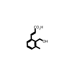 Cc1cccc(/C=C/C(=O)O)c1CO